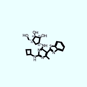 Cc1nc(NC2CCC2)nc(N[C@@H]2C[C@H](CO)[C@@H](O)[C@H]2O)c1-c1nc2ccccc2s1